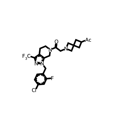 CC(=O)C1CC2(C1)CN(CC(=O)N1CCc3c(C(F)(F)F)nn(Cc4ccc(Cl)cc4F)c3C1)C2